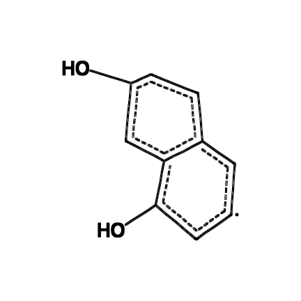 Oc1ccc2c[c]cc(O)c2c1